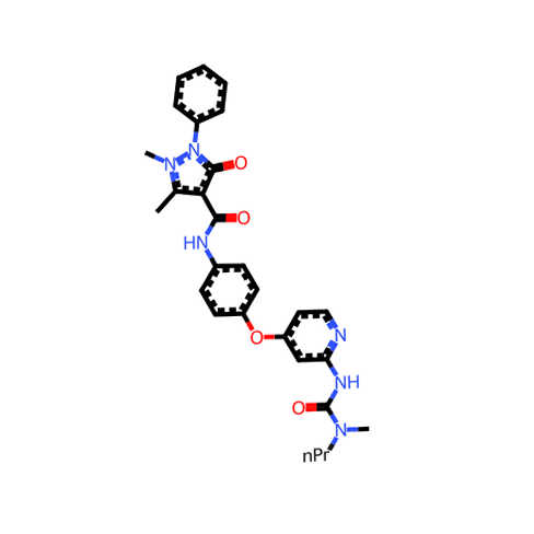 CCCN(C)C(=O)Nc1cc(Oc2ccc(NC(=O)c3c(C)n(C)n(-c4ccccc4)c3=O)cc2)ccn1